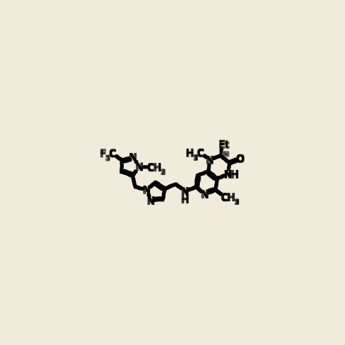 CC[C@H]1C(=O)Nc2c(cc(NCc3cnn(Cc4cc(C(F)(F)F)nn4C)c3)nc2C)N1C